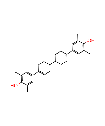 Cc1cc(C2=CCC(C3CC=C(c4cc(C)c(O)c(C)c4)CC3)CC2)cc(C)c1O